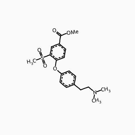 COC(=O)c1ccc(Oc2ccc(CCN(C)C)cc2)c(S(C)(=O)=O)c1